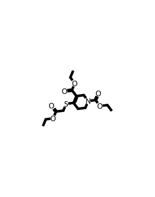 CCOC(=O)CSC1=C(C(=O)OCC)CN(C(=O)OCC)CC1